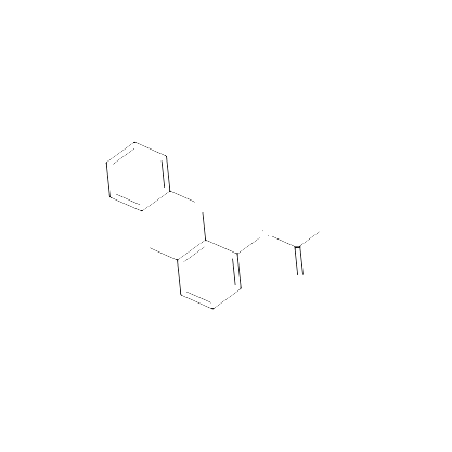 CC(=O)Nc1cccc(Br)c1Oc1ccccc1